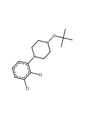 CC(C)(C)ON1CCN(c2cccc(Cl)c2Cl)CC1